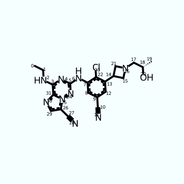 CCNc1nc(Nc2cc(C#N)cc(C3CN(C[C@H](C)O)C3)c2Cl)nn2c(C#N)cnc12